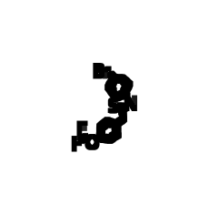 FC(F)Oc1ccc(Cc2nc3ccc(Br)cc3s2)cc1